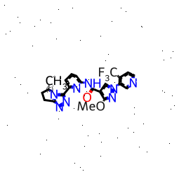 COc1nn(-c2cnccc2C(F)(F)F)cc1C(=O)Nc1cccc(-c2nnc3n2[C@@H](C)CC3)n1